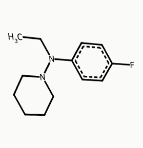 CCN(c1ccc(F)cc1)N1CCCCC1